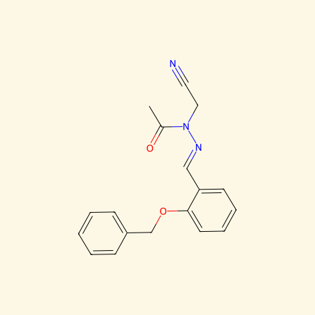 CC(=O)N(CC#N)N=Cc1ccccc1OCc1ccccc1